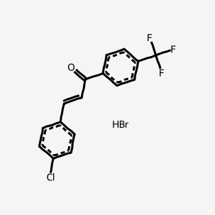 Br.O=C(C=Cc1ccc(Cl)cc1)c1ccc(C(F)(F)F)cc1